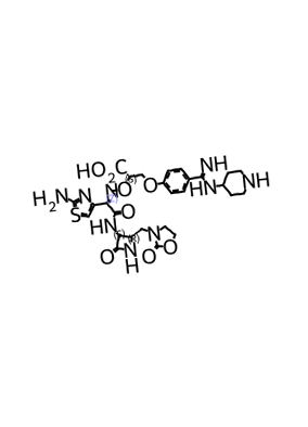 N=C(NC1CCNCC1)c1ccc(OC[C@H](O/N=C(\C(=O)N[C@@H]2C(=O)N[C@@H]2CN2CCOC2=O)c2csc(N)n2)C(=O)O)cc1